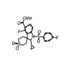 COC(=O)c1ccc2c(c1F)C1(CCS(=O)(=O)CC1)C(C1CC1)N2S(=O)(=O)c1ccc(F)cc1